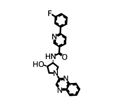 O=C(N[C@@H]1CN(c2cnc3ccccc3n2)C[C@H]1O)c1ccc(-c2cccc(F)c2)nc1